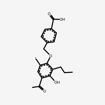 CCCc1c(O)c(C(C)=O)cc(I)c1OCc1ccc(C(=O)O)cc1